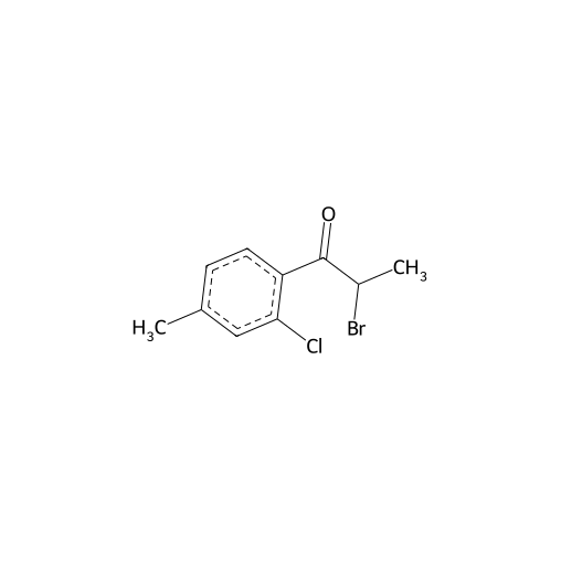 Cc1ccc(C(=O)C(C)Br)c(Cl)c1